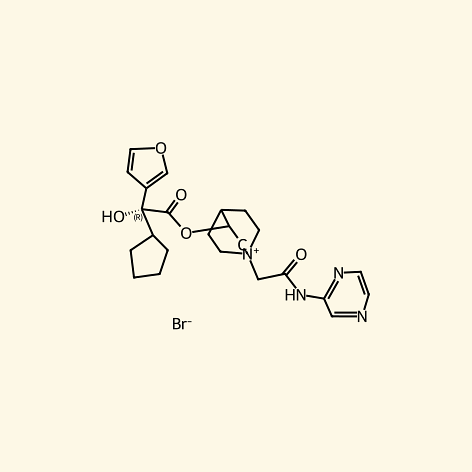 O=C(C[N+]12CCC(CC1)C(OC(=O)[C@](O)(c1ccoc1)C1CCCC1)C2)Nc1cnccn1.[Br-]